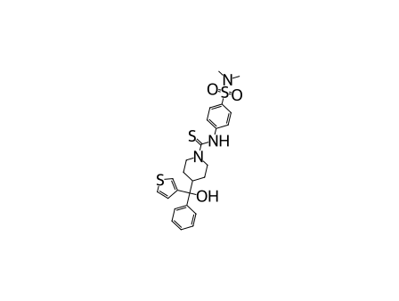 CN(C)S(=O)(=O)c1ccc(NC(=S)N2CCC(C(O)(c3ccccc3)c3ccsc3)CC2)cc1